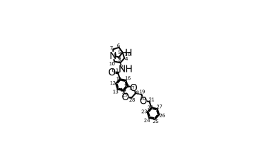 O=C(N[C@@H]1C[C@H]2CCN(C2)C1)c1ccc2c(c1)O[C@@H](COCc1ccccc1)CO2